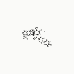 Cn1cc(C(=O)N2CCC(c3ccc(F)cc3)CC2)c(Nc2ccc3cnn(C)c3c2)c(Cl)c1=O